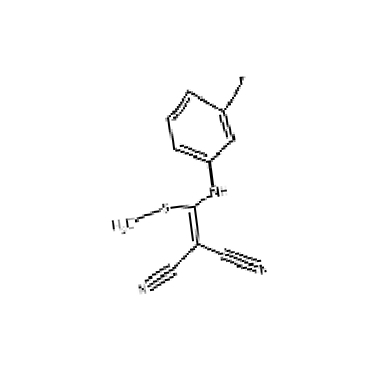 CSC(Nc1cccc(F)c1)=C(C#N)C#N